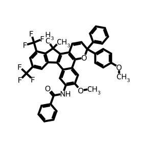 COc1ccc(C2(c3ccccc3)C=Cc3c4c(c5cc(NC(=O)c6ccccc6)c(OC)cc5c3O2)-c2cc(C(F)(F)F)cc(C(F)(F)F)c2C4(C)C)cc1